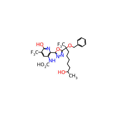 CC(O)CCCCC[C@@](OCc1ccccc1)(c1nnc(-c2nc(O)c(C(F)(F)F)cc2NC(=O)O)o1)C(F)(F)F